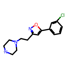 Clc1cccc(-c2cc(CCN3CC[N]CC3)no2)c1